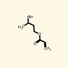 C=CC(=O)OCCC(C)C(C)(C)C